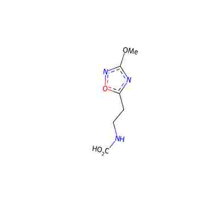 COc1noc(CCNC(=O)O)n1